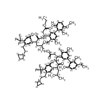 CCOC(=O)C[C@H](NC(=O)C(CC(C)C)n1cc(CCN2CCC2)c(C(F)(F)F)cc1=O)c1cc(-c2c(C)ccc(OC)c2C)cc(C)c1F.COc1ccc(C)c(-c2cc(C)c(F)c([C@H](CC(=O)O)NC(=O)C(CC(C)C)n3cc(CCN4CCC4)c(C(F)(F)F)cc3=O)c2)c1C